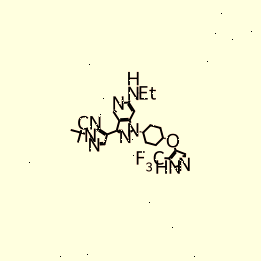 CCNc1cc2c(cn1)c(-c1cnn(C(C)(C)C#N)c1)nn2[C@H]1CC[C@@H](Oc2cn[nH]c2C(F)(F)F)CC1